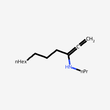 C=C=C(CCCCCCCCC)NCCC